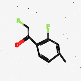 Cc1ccc(C(=O)CF)c(F)c1